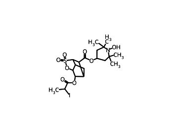 CC(I)C(=O)OC1C2CC3C1OS(=O)(=O)C3C2C(=O)OC1CC(C)(C)N(O)C(C)(C)C1